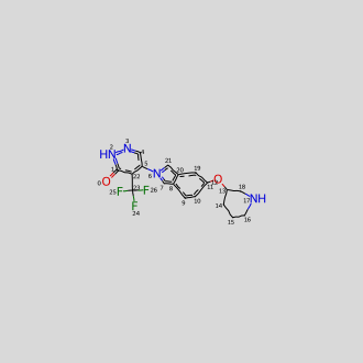 O=c1[nH]ncc(-n2cc3ccc(OC4CCCNC4)cc3c2)c1C(F)(F)F